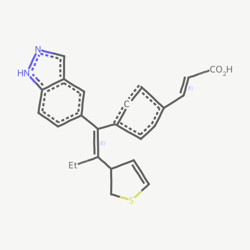 CC/C(=C(/c1ccc(/C=C/C(=O)O)cc1)c1ccc2[nH]ncc2c1)C1C=CSC1